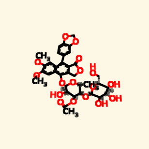 COc1cc2c(O[C@@H]3O[C@H](C)[C@@H](O[C@@H]4O[C@H](CO)[C@@H](O)[C@H](O)[C@H]4O)[C@H](OC(C)=O)[C@H]3O)c3c(c(-c4ccc5c(c4)OCO5)c2cc1OC)C(=O)OC3